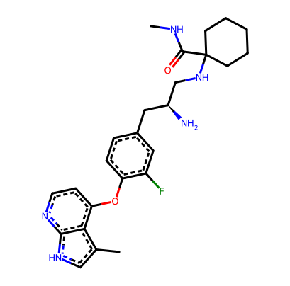 CNC(=O)C1(NC[C@@H](N)Cc2ccc(Oc3ccnc4[nH]cc(C)c34)c(F)c2)CCCCC1